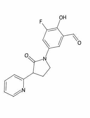 O=Cc1cc(N2CCC(c3ccccn3)C2=O)cc(F)c1O